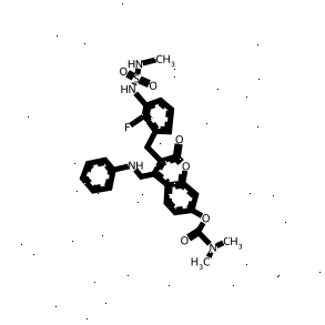 CNS(=O)(=O)Nc1cccc(Cc2c(CNc3ccccc3)c3ccc(OC(=O)N(C)C)cc3oc2=O)c1F